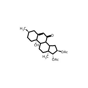 CC(=O)O[C@@H]1CC2C3C(=O)C=C4C[C@H](C)CC[C@]4(C)C3CC[C@]2(C)[C@H]1OC(C)=O